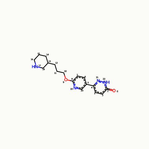 O=c1ccc(-c2ccc(OCCCC3CCCNC3)nc2)n[nH]1